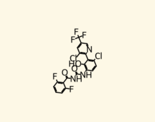 O=C(NC(=O)c1c(F)cccc1F)Nc1ccc(Cl)c(-c2ncc(C(F)(F)F)cc2Cl)c1O